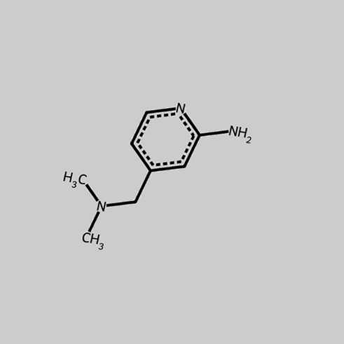 CN(C)Cc1ccnc(N)c1